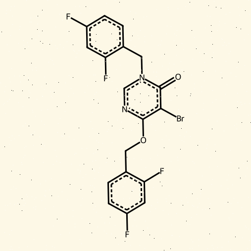 O=c1c(Br)c(OCc2ccc(F)cc2F)ncn1Cc1ccc(F)cc1F